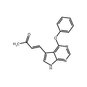 CC(=O)C=Cc1c[nH]c2ncnc(Oc3ccccc3)c12